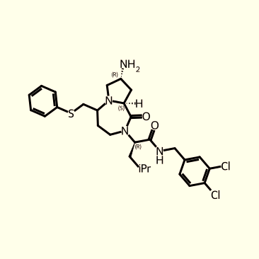 CC(C)C[C@H](C(=O)NCc1ccc(Cl)c(Cl)c1)N1CCC(CSc2ccccc2)N2C[C@H](N)C[C@H]2C1=O